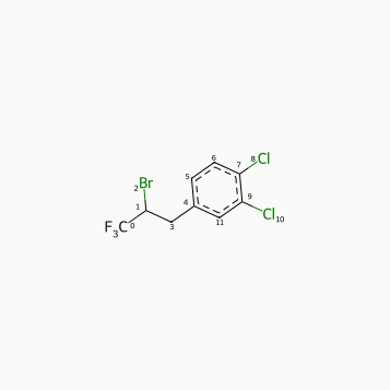 FC(F)(F)C(Br)Cc1ccc(Cl)c(Cl)c1